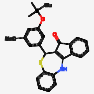 COc1cc(O[Si](C)(C)C(C)(C)C)cc(C2Sc3ccccc3NC3=C2C(=O)c2ccccc23)c1